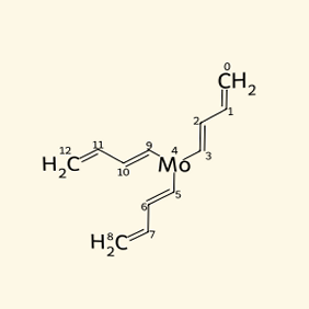 C=CC=[CH][Mo]([CH]=CC=C)[CH]=CC=C